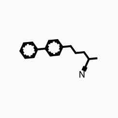 CC(C#N)CCCc1ccc(-c2ccccc2)cc1